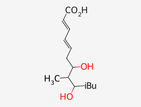 CCC(C)C(O)C(C)C(O)CC=CC=CC(=O)O